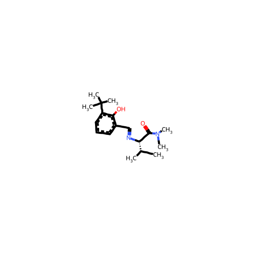 CC(C)[C@H](N=Cc1cccc(C(C)(C)C)c1O)C(=O)N(C)C